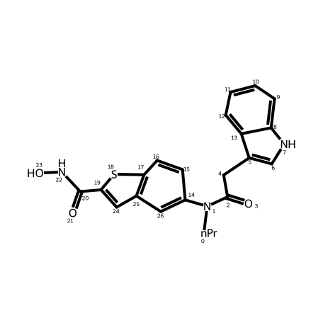 CCCN(C(=O)Cc1c[nH]c2ccccc12)c1ccc2sc(C(=O)NO)cc2c1